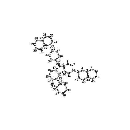 c1ccc2cc(-c3ccc4c(c3)c3c5c(ccc3n4-c3ccc(-c4cccc6ccccc46)cc3)sc3ccccc35)ccc2c1